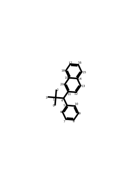 CC(C)(C)[C](c1ccccc1)c1ccc2ccccc2c1